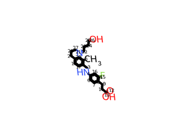 Cc1c(CNc2ccc(CCC(=O)O)c(F)c2)ccc2c1N(CCCCO)CCC2